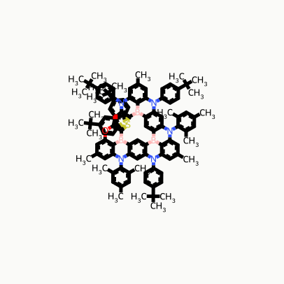 Cc1cc(C)c(N2c3cc4c(cc3B3c5sc6ccc(C(C)(C)C)cc6c5Oc5cc(C)cc2c53)B2c3cc5c(cc3N(c3c(C)cc(C)cc3C)c3cc(C)cc(c32)N4c2ccc(C(C)(C)C)cc2)N(c2ccc(C(C)(C)C)cc2)c2cc(C)cc3c2B5c2sc4ccc(C(C)(C)C)cc4c2N3c2ccc(C(C)(C)C)cc2)c(C)c1